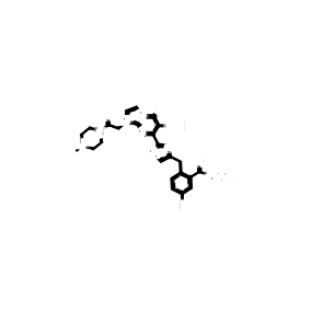 CNC(=O)c1cc(F)ccc1Cc1cnc(-c2nc3n(CC(=O)N4CCN(C)CC4)ccn3c(=O)c2O)s1